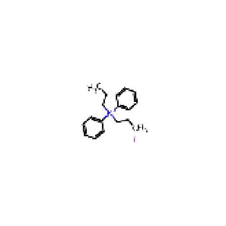 CCC[N+](CCC)(c1ccccc1)c1ccccc1.[I-]